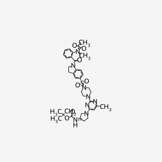 Cc1cc(N2CC[C@H](NC(=O)OC(C)(C)C)C2)nc(N2CCN(S(=O)(=O)c3ccc4c(c3)CCN4C(=O)c3ccccc3N(C)S(C)(=O)=O)CC2)n1